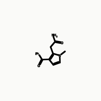 CC(C)C(=O)c1ccn(C)c1CC(N)=O